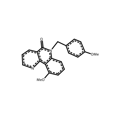 COc1ccc(Cn2c(=O)c3cccnc3c3c(OC)cccc32)cc1